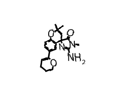 CN1C(=O)C2(CC(C)(C)Oc3ccc(C4=CCCCO4)cc32)N=C1N